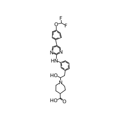 O=C(O)C1CCN(C(O)Cc2cccc(Nc3ncc(-c4ccc(OC(F)F)cc4)cn3)c2)CC1